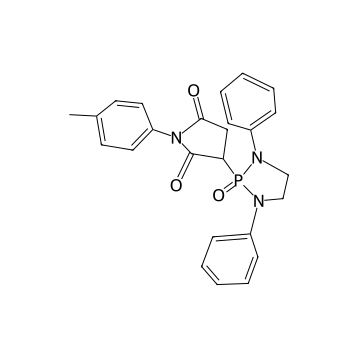 Cc1ccc(N2C(=O)CC(P3(=O)N(c4ccccc4)CCN3c3ccccc3)C2=O)cc1